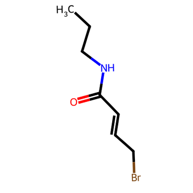 CCCNC(=O)C=CCBr